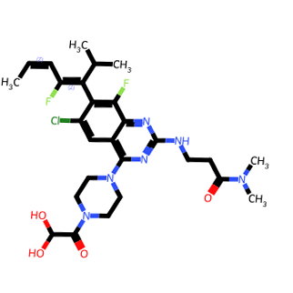 C/C=C\C(F)=C(\c1c(Cl)cc2c(N3CCN(C(=O)C(O)O)CC3)nc(NCCC(=O)N(C)C)nc2c1F)C(C)C